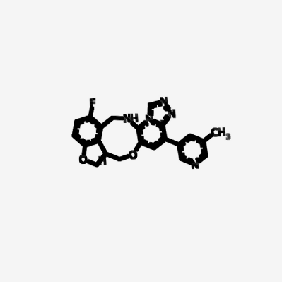 Cc1cncc(-c2cc3c(n4cnnc24)NCc2c(F)ccc4c2[C@H](CO4)CO3)c1